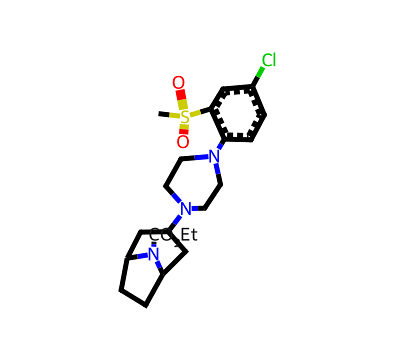 CCOC(=O)N1C2CCC1CC(N1CCN(c3ccc(Cl)cc3S(C)(=O)=O)CC1)C2